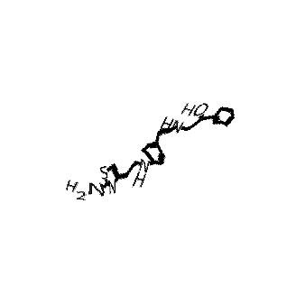 Nc1nc(CCNc2ccc(C=CNCC(O)c3ccccc3)cc2)cs1